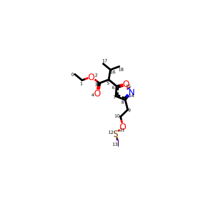 CCOC(=O)C(c1cc(CCOSI)no1)C(C)C